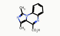 Cc1nc(C)n2c1c(C(=O)O)nc1ccccc12